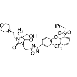 CC(C)CS(=O)(=O)c1ccccc1Oc1ccc(-c2noc(CN3C(=O)N(CCN4CCOCC4)C(C)(CO)C3=O)n2)cc1C(F)(F)F